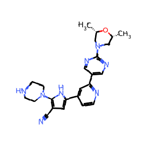 C[C@@H]1CN(c2ncc(-c3cc(-c4cc(C#N)c(N5CCNCC5)[nH]4)ccn3)cn2)C[C@H](C)O1